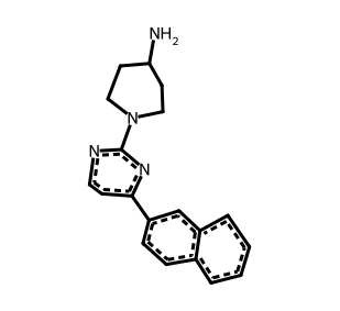 NC1CCN(c2nccc(-c3ccc4ccccc4c3)n2)CC1